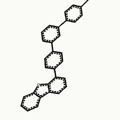 Cc1ccc(-c2cccc(-c3ccc(-c4cccc5c4oc4ccccc45)cc3)c2)cc1